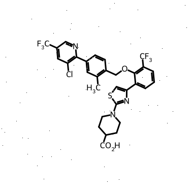 Cc1cc(-c2ncc(C(F)(F)F)cc2Cl)ccc1COc1c(-c2csc(N3CCC(C(=O)O)CC3)n2)cccc1C(F)(F)F